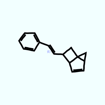 C1=CC2C(/C=C/c3ccccc3)CC23CC13